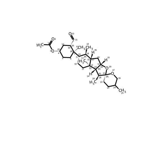 CC(=O)O[C@H]1CC[C@](C)([C@H]2CC[C@]3(C)[C@@H]4[C@H](C[C@H]3[C@@H]2C)O[C@]2(CCC(C)CO2)[C@H]4C)[C@@H](C=O)C1